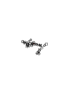 CC1(CN2CCN(C(=O)OC(C)(C)C)CC2)CCC(c2ccc(Cl)cc2)=C(CN2CCN(c3ccc(C(=O)NS(=O)(=O)c4ccc(NC(CCN5CCOCC56CC6)CSc5ccccc5)c(S(=O)(=O)C(F)(F)F)c4)cc3)CC2)C1